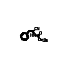 CC(C)(C)OC(=O)N[C@H](C#N)Cc1ccccc1